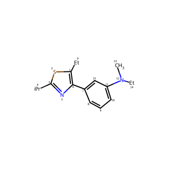 CCc1sc(C(C)C)nc1-c1cccc(N(C)CC)c1